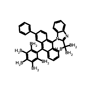 Bc1c(B)c(B)c(-c2c3ccccc3c(-n3c(C(B)(B)B)nc4ccccc43)c3ccc(-c4ccccc4)cc23)c(B)c1B